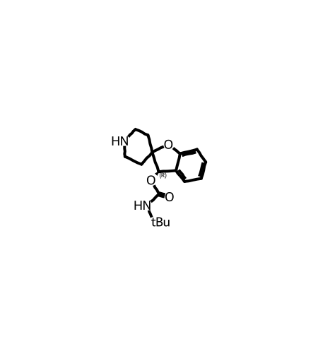 CC(C)(C)NC(=O)O[C@@H]1c2ccccc2OC12CCNCC2